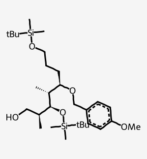 COc1ccc(CO[C@H](CCCO[Si](C)(C)C(C)(C)C)[C@@H](C)[C@@H](O[Si](C)(C)C(C)(C)C)[C@@H](C)CO)cc1